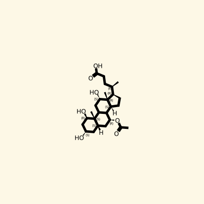 CC(=O)O[C@@H]1C[C@@H]2C[C@H](O)C[C@@H](O)[C@]2(C)C2C[C@H](O)[C@]3(C)[C@@H]([C@H](C)CCC(=O)O)CC[C@H]3C21